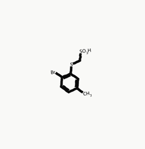 Cc1ccc(Br)c(SCS(=O)(=O)O)c1